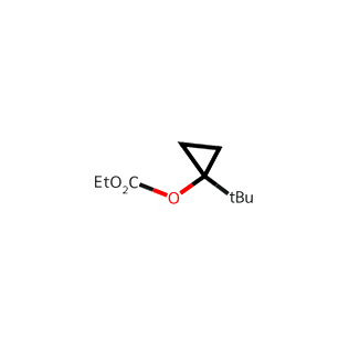 CCOC(=O)OC1(C(C)(C)C)CC1